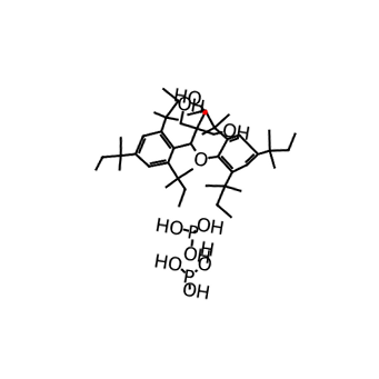 CCC(C)(C)c1cc(C(C)(C)CC)c(OC(c2c(C(C)(C)CC)cc(C(C)(C)CC)cc2C(C)(C)CC)C(CO)(CO)CO)c(C(C)(C)CC)c1.OP(O)O.OP(O)O